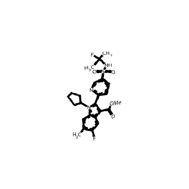 COC(=O)c1c(-c2ccc(S(=O)(=O)NC(C)(C)F)cn2)n(C2CCCC2)c2cc(C)c(F)cc12